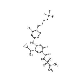 CN(C)S(=O)(=O)NC(=O)c1cc(C(=N)C2CC2)c(Nc2cnc(OCCCC(F)(F)F)c(Cl)c2)cc1F